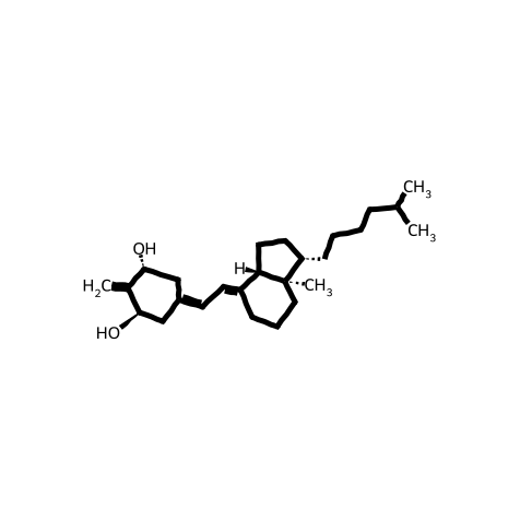 C=C1[C@H](O)CC(=C/C=C2\CCC[C@]3(C)[C@@H](CCCCC(C)C)CC[C@@H]23)C[C@H]1O